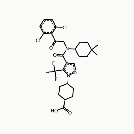 CC1(C)CCC(N(CC(=O)c2c(Cl)cccc2Cl)C(=O)c2cnn([C@H]3CC[C@H](C(=O)O)CC3)c2C(F)(F)F)CC1